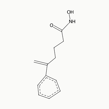 C=C(CCCC(=O)NO)c1ccccc1